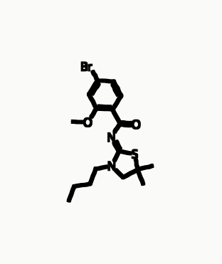 CCCCN1CC(C)(C)S/C1=N\C(=O)c1ccc(Br)cc1OC